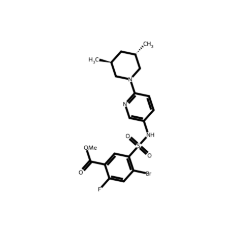 COC(=O)c1cc(S(=O)(=O)Nc2ccc(N3C[C@@H](C)C[C@H](C)C3)nc2)c(Br)cc1F